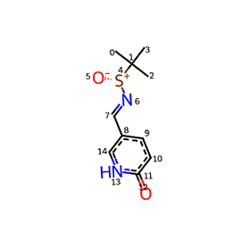 CC(C)(C)[S@@+]([O-])/N=C/c1ccc(=O)[nH]c1